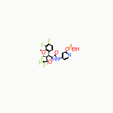 COc1c([C@H]2[C@H](C(=O)Nc3ccnc(OP(C)O)c3)O[C@@](C)(C(F)(F)F)[C@H]2C)ccc(F)c1F